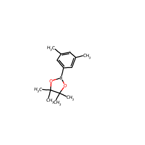 Cc1[c]c(C)cc(B2OC(C)(C)C(C)(C)O2)c1